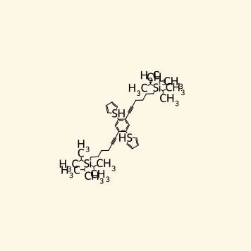 CC(C)[Si](CCCCC#Cc1cc([SH]2C=CC=C2)c(C#CCCCC[Si](C(C)C)(C(C)C)C(C)C)cc1[SH]1C=CC=C1)(C(C)C)C(C)C